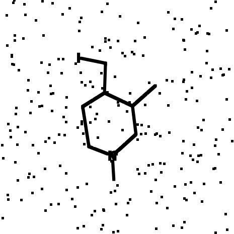 CC1CN(C)CCC1CI